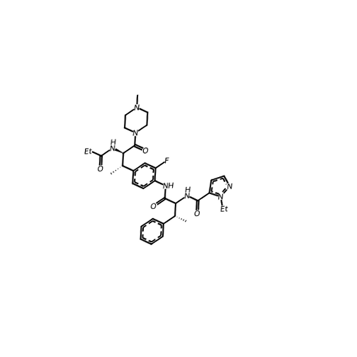 CCC(=O)N[C@@H](C(=O)N1CCN(C)CC1)[C@@H](C)c1ccc(NC(=O)C(NC(=O)c2ccnn2CC)[C@H](C)c2ccccc2)c(F)c1